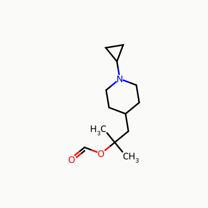 CC(C)(CC1CCN(C2CC2)CC1)OC=O